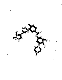 Cc1ccc(C(=O)Nc2cc(N3CCN(C)CC3)c(Cl)c(C(F)(F)F)c2)cc1-n1cc(-c2cnn(C)c2C)nn1